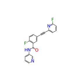 O=C(Nc1cccnc1)c1cc(C#Cc2cccc(F)n2)ccc1F